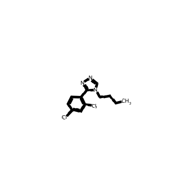 CCCCn1[c]nnc1-c1ccc(Cl)cc1Cl